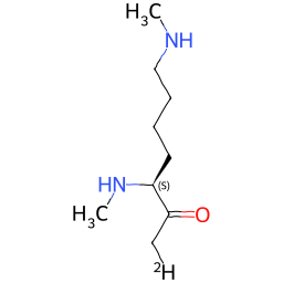 [2H]CC(=O)[C@H](CCCCNC)NC